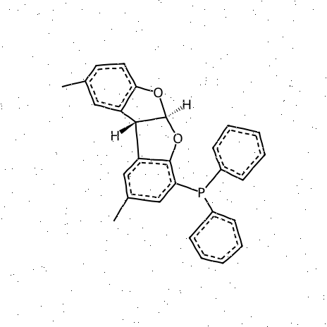 Cc1ccc2c(c1)[C@H]1c3cc(C)cc(P(c4ccccc4)c4ccccc4)c3O[C@@H]1O2